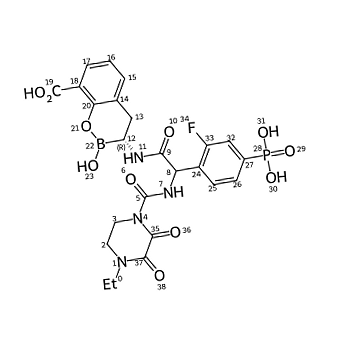 CCN1CCN(C(=O)NC(C(=O)N[C@H]2Cc3cccc(C(=O)O)c3OB2O)c2ccc(P(=O)(O)O)cc2F)C(=O)C1=O